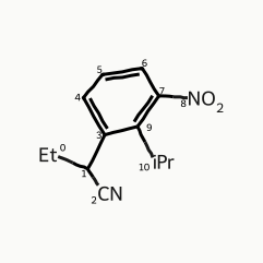 CCC(C#N)c1cccc([N+](=O)[O-])c1C(C)C